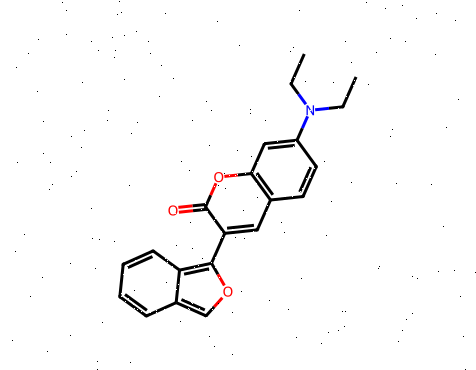 CCN(CC)c1ccc2cc(-c3occ4ccccc34)c(=O)oc2c1